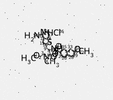 COCCN(C)C(=O)C(Cc1cc2c(N)nccc2s1)NS(=O)(=O)c1ccc2ccc(OC)cc2c1.Cl